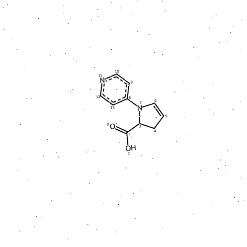 O=C(O)C1CC=CN1c1ccncc1